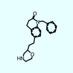 O=C1CCc2cc(CCC3CNCCO3)ccc2N1Cc1ccccc1